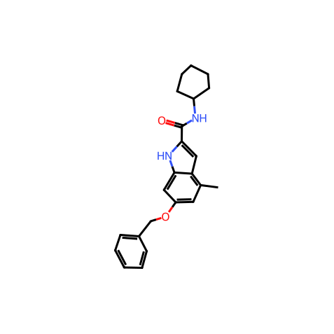 Cc1cc(OCc2ccccc2)cc2[nH]c(C(=O)NC3CCCCC3)cc12